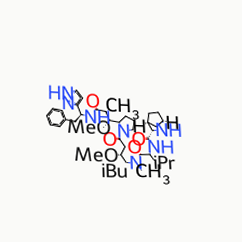 CC[C@H](C)[C@@H]([C@@H](CC(=O)N1CCCC1[C@H](OC)[C@@H](C)C(=O)N[C@@H](Cc1ccccc1)c1cc[nH]n1)OC)N(C)C(=O)C(NC(=O)[C@H]1N[C@@H]2CC[C@H]1C2)C(C)C